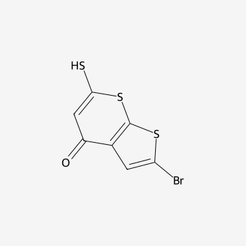 O=c1cc(S)sc2sc(Br)cc12